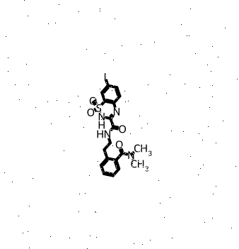 CN(C)C(=O)c1ccccc1CCNC(=O)C1=Nc2ccc(I)cc2S(=O)(=O)N1